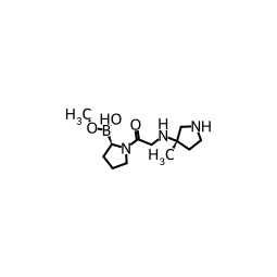 COB(O)[C@@H]1CCCN1C(=O)CN[C@@]1(C)CCNC1